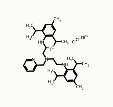 Cc1cc(C(C)C)c(NCCN(CCNc2c(C(C)C)cc(C)cc2C(C)C)Cc2ccccn2)c(C(C)C)c1.[Cl-].[Cl-].[Ni+2]